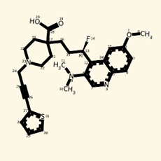 COc1ccc2ncc(N(C)C)c([C@H](F)CCC3(C(=O)O)CCN(CC#Cc4cccs4)CC3)c2c1